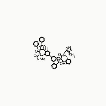 CNC(=O)N1Cc2cc(-c3cccc(C[C@]45N=C(c6ccccc6)O[C@H]4c4ccccc4CN(Cc4nnnn4C)C5=O)c3)ccc2[C@@H]2OC(c3ccccc3)=N[C@]2(Cc2ccccc2)C1=O